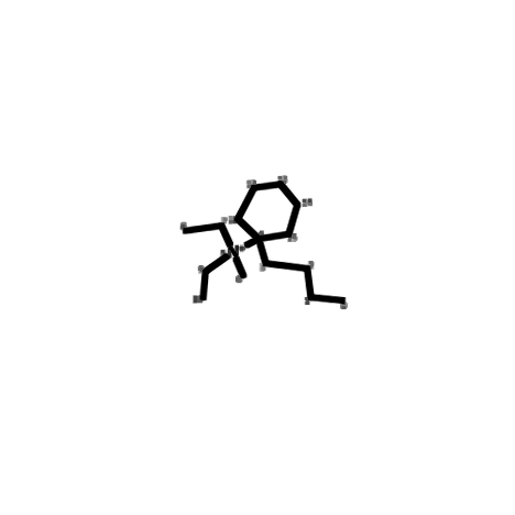 CCCCC1([N+](C)(CC)CC)CCCCC1